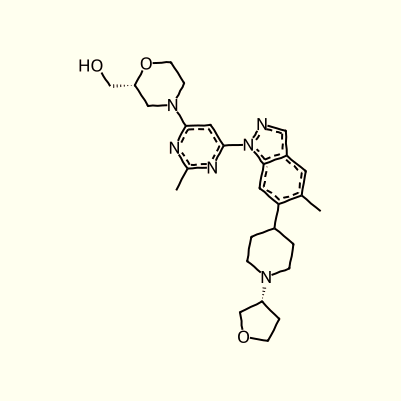 Cc1nc(N2CCO[C@@H](CO)C2)cc(-n2ncc3cc(C)c(C4CCN([C@@H]5CCOC5)CC4)cc32)n1